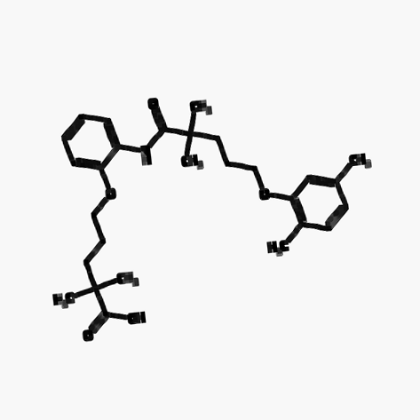 Cc1ccc(C)c(OCCCC(C)(C)C(=O)Nc2ccccc2OCCCC(C)(C)C(=O)O)c1